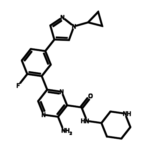 Nc1ncc(-c2cc(-c3cnn(C4CC4)c3)ccc2F)nc1C(=O)NC1CCCNC1